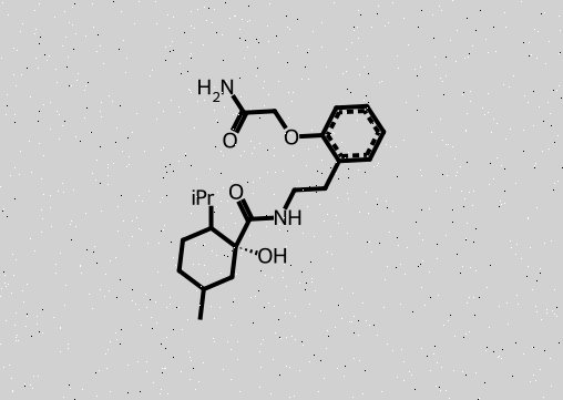 CC1CCC(C(C)C)[C@@](O)(C(=O)NCCc2ccccc2OCC(N)=O)C1